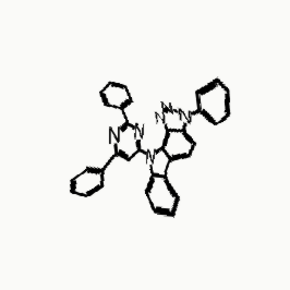 c1ccc(-c2cc(-n3c4ccccc4c4ccc5c(nnn5-c5ccccc5)c43)nc(-c3ccccc3)n2)cc1